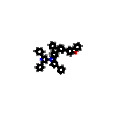 c1ccc(-c2ccc3c(c2)c2cc4c5cc(-c6ccc7oc8ccccc8c7c6)ccc5c5ccccc5c4cc2n3-c2cc(-c3ccccc3)nc(-c3ccccc3)c2)cc1